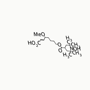 COC(/C=C/C(=O)O)CCCCOC(=O)C1CC(C)(C)N(O)C(C)(C)C1